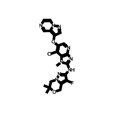 Cn1c(Nc2nn3c(c2F)COC(C)(C)C3)nc2ncc(Oc3cnn4ccncc34)c(Cl)c21